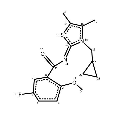 COc1ccc(F)cc1C(=O)/N=c1\sc(C)c(C)n1CC1CC1